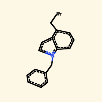 CC(C)Cc1cccc2c1ccn2Cc1ccccc1